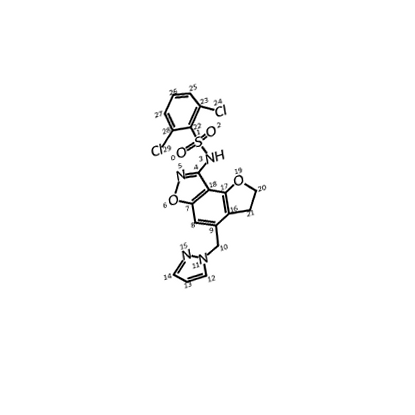 O=S(=O)(Nc1noc2cc(Cn3cccn3)c3c(c12)OCC3)c1c(Cl)cccc1Cl